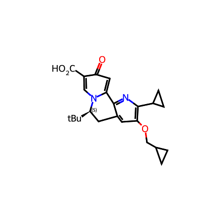 CC(C)(C)[C@@H]1Cc2cc(OCC3CC3)c(C3CC3)nc2-c2cc(=O)c(C(=O)O)cn21